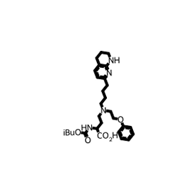 CC(C)COC(=O)NC(CCN(CCCCc1ccc2c(n1)NCCC2)CCOc1ccccc1)C(=O)O